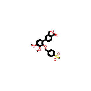 COc1ccc(-c2ccc3c(c2)COC3=O)c(OCc2ccc(S(C)(=O)=O)cc2)c1OC